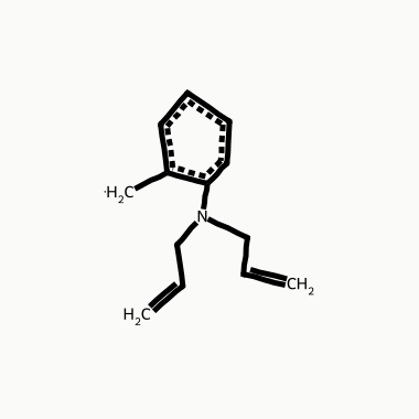 [CH2]c1ccccc1N(CC=C)CC=C